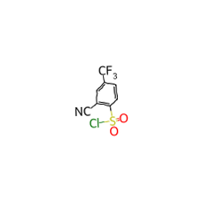 N#Cc1cc(C(F)(F)F)ccc1S(=O)(=O)Cl